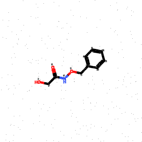 O=C(CO)NOCc1ccccc1